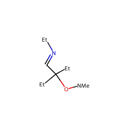 CCN=CC(CC)(CC)ONC